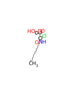 CCCCCCCCCCCCCC(=O)Nc1ccc(-c2cc(=O)oc3cc(O)ccc23)c(Cl)c1